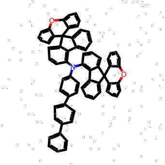 c1ccc(-c2ccc(-c3ccc(N(c4cccc5c4-c4ccccc4C54c5ccccc5Oc5ccccc54)c4cccc5c4-c4ccccc4C54c5ccccc5Oc5ccccc54)cc3)cc2)cc1